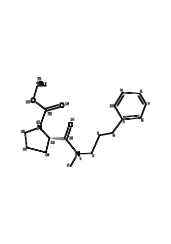 CN(CCCc1ccccc1)C(=O)[C@@H]1CCCN1C(=O)OC(C)(C)C